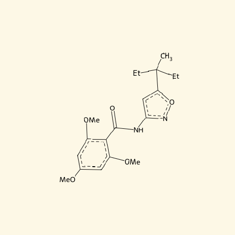 CCC(C)(CC)c1cc(NC(=O)c2c(OC)cc(OC)cc2OC)no1